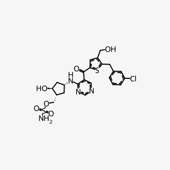 NS(=O)(=O)OC[C@H]1C[C@@H](Nc2ncncc2C(=O)c2cc(CO)c(Cc3cccc(Cl)c3)s2)C[C@@H]1O